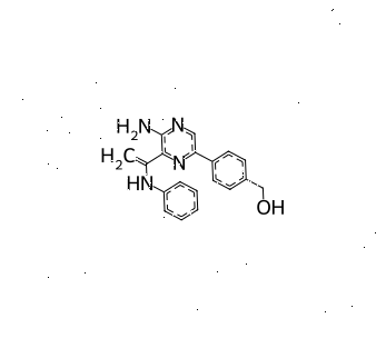 C=C(Nc1ccccc1)c1nc(-c2ccc(CO)cc2)cnc1N